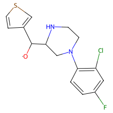 [O]C(c1ccsc1)C1CN(c2ccc(F)cc2Cl)CCN1